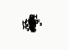 Cc1cc2c(c(OCC(F)(F)F)c(C(=O)NC3CCC(O)CC3)n2C)c(=O)n1CC(=O)c1ccccc1